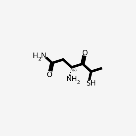 CC(S)C(=O)[C@H](N)CC(N)=O